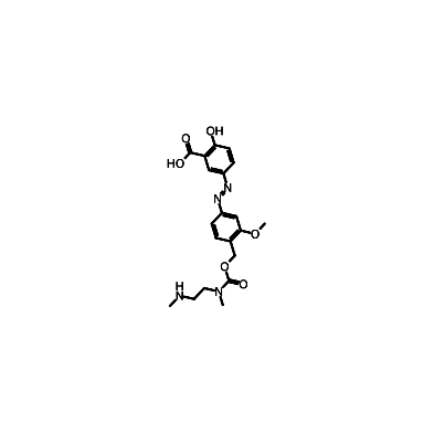 CNCCN(C)C(=O)OCc1ccc(N=Nc2ccc(O)c(C(=O)O)c2)cc1OC